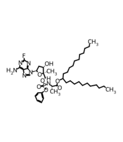 CCCCCCCCCCCC(CCCCCCCCCCC)OC(=O)[C@H](C)NP(=O)(OC[C@@]1(C)O[C@@H](n2cnc3c(N)nc(F)nc32)C[C@@H]1O)Oc1ccccc1